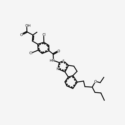 CCCC(CCc1cccc2c1CCc1sc(NC(=O)c3cc(Cl)c(C=C(C)C(=O)O)c(Cl)c3)nc1-2)OCC